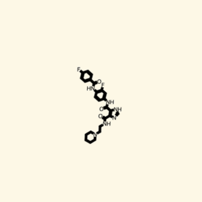 O=C(Nc1ccc(NC(=O)c2[nH]cnc2C(=O)NCCN2CCCCC2)cc1F)c1ccc(F)cc1